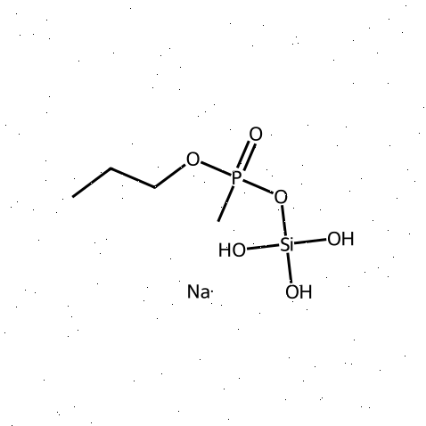 CCCOP(C)(=O)O[Si](O)(O)O.[Na]